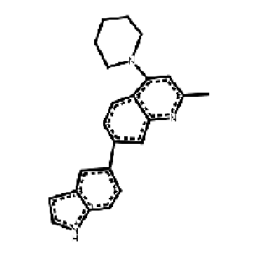 Cc1cc(N2CCCCC2)c2ccc(-c3ccc4[nH]ccc4c3)cc2n1